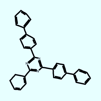 C1=CCCC(c2nc(-c3ccc(-c4ccccc4)cc3)nc(-c3ccc(-c4ccccc4)cc3)n2)=C1